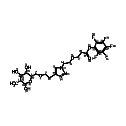 C[C@@H]1[C@@H](O)[C@@H](O)[C@@H](COCCc2cn(CCOCCC(=O)Oc3c(F)c(F)c(F)c(F)c3F)nn2)O[C@H]1O